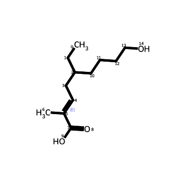 CCC(C/C=C(\C)C(=O)O)CCCCO